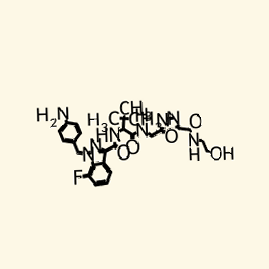 CC(C)(C)C(NC(=O)c1nn(Cc2ccc(N)cc2)c2c(F)cccc12)C(=O)NCc1nnc(C(=O)NCCO)o1